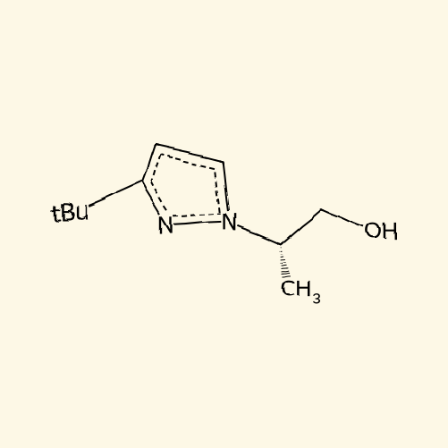 C[C@@H](CO)n1ccc(C(C)(C)C)n1